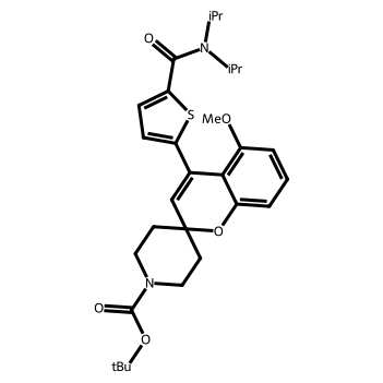 COc1cccc2c1C(c1ccc(C(=O)N(C(C)C)C(C)C)s1)=CC1(CCN(C(=O)OC(C)(C)C)CC1)O2